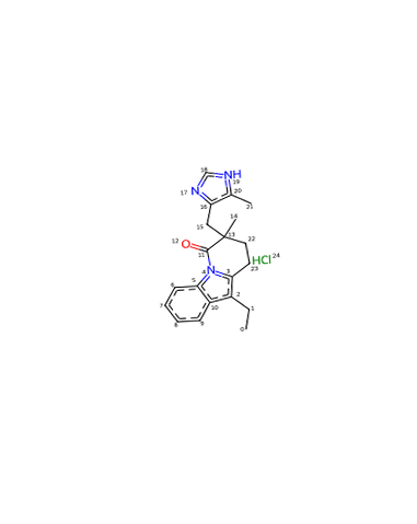 CCc1c2n(c3ccccc13)C(=O)C(C)(Cc1nc[nH]c1C)CC2.Cl